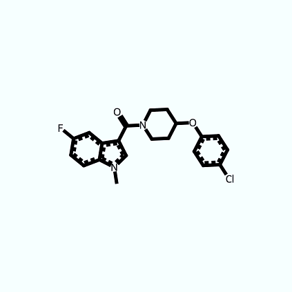 Cn1cc(C(=O)N2CCC(Oc3ccc(Cl)cc3)CC2)c2cc(F)ccc21